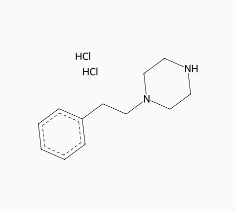 Cl.Cl.c1ccc(CCN2CCNCC2)cc1